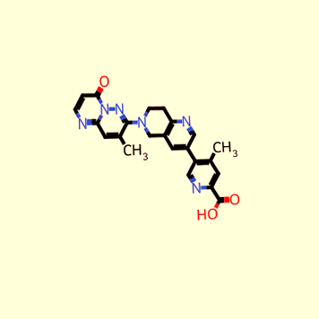 Cc1cc(C(=O)O)ncc1-c1cnc2c(c1)CN(c1nn3c(=O)ccnc3cc1C)CC2